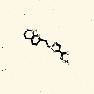 COC(=O)c1cnn(CCc2ccc3c(n2)NCCC3)n1